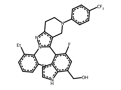 CCc1cccc(CC)c1-n1nc2c(c1-c1c(F)cc(CO)c3[nH]ccc13)CN(c1ccc(C(F)(F)F)cc1)CC2